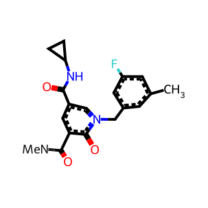 CNC(=O)c1cc(C(=O)NC2CC2)cn(Cc2cc(C)cc(F)c2)c1=O